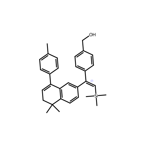 Cc1ccc(C2=CCC(C)(C)c3ccc(/C(=C\[Si](C)(C)C)c4ccc(CO)cc4)cc32)cc1